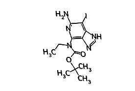 CCN(C(=O)OC(C)(C)C)c1nc(N)c(I)c2[nH]cnc12